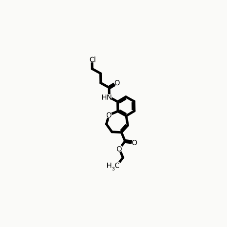 CCOC(=O)C1=Cc2cccc(NC(=O)CCCCl)c2OCC1